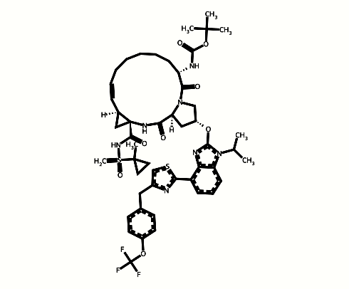 C=S(=O)(NC(=O)[C@@]12C[C@H]1/C=C\CCCCC[C@H](NC(=O)OC(C)(C)C)C(=O)N1C[C@H](Oc3nc4c(-c5nc(Cc6ccc(OC(F)(F)F)cc6)cs5)cccc4n3C(C)C)C[C@H]1C(=O)N2)C1(C)CC1